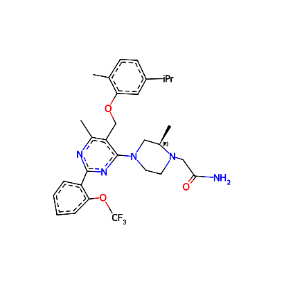 Cc1ccc(C(C)C)cc1OCc1c(C)nc(-c2ccccc2OC(F)(F)F)nc1N1CCN(CC(N)=O)[C@H](C)C1